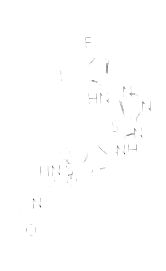 O=S(=O)(NCCN1CCOCC1)c1ccc(Nc2nc3ncnc(Nc4ccc(F)c(CI)c4)c3s2)cc1